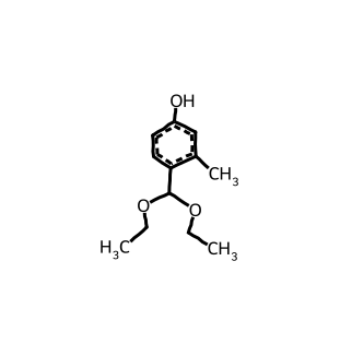 CCOC(OCC)c1ccc(O)cc1C